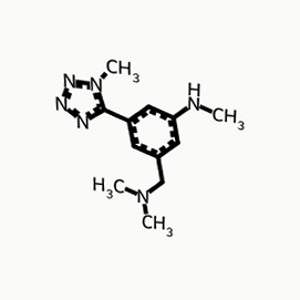 CNc1cc(CN(C)C)cc(-c2nnnn2C)c1